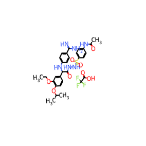 CCOc1cc(C(Nc2ccc(C(=N)N)cc2)C(=O)NNS(=O)(=O)c2ccc(NC(C)=O)cc2)ccc1OC(C)C.O=C(O)C(F)(F)F